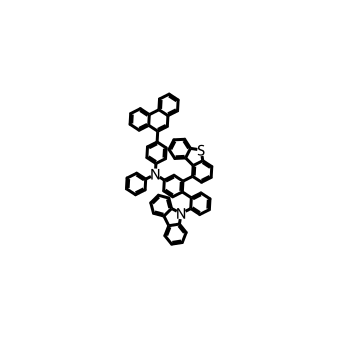 c1ccc(N(c2ccc(-c3cc4ccccc4c4ccccc34)cc2)c2ccc(-c3ccccc3-n3c4ccccc4c4ccccc43)c(-c3cccc4sc5ccccc5c34)c2)cc1